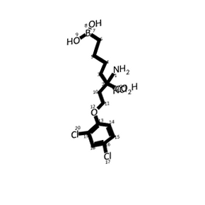 Cl.NC(CCCCB(O)O)(CCOc1ccc(Cl)cc1Cl)C(=O)O